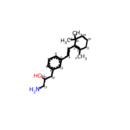 CC1=C(/C=C/c2cccc(CC(O)CN)c2)C(C)(C)CCC1